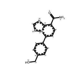 NC(=O)c1ccc(-c2ccc(CO)cc2)n2n[c]nc12